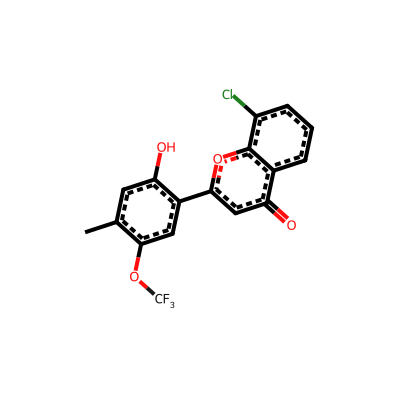 Cc1cc(O)c(-c2cc(=O)c3cccc(Cl)c3o2)cc1OC(F)(F)F